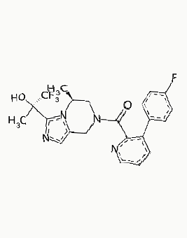 C[C@H]1CN(C(=O)c2ncccc2-c2ccc(F)cc2)Cc2cnc([C@@](C)(O)C(F)(F)F)n21